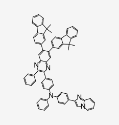 CC1(C)c2ccccc2-c2ccc(-c3cc4nc(-c5ccccc5)c(-c5ccc(N(c6ccccc6)c6ccc(-c7cn8ccccc8n7)cc6)cc5)nc4cc3-c3ccc4c(c3)C(C)(C)c3ccccc3-4)cc21